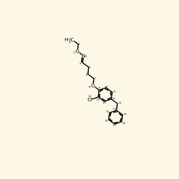 CCON=CCCCOc1ccc(Cc2ccccc2)cc1Cl